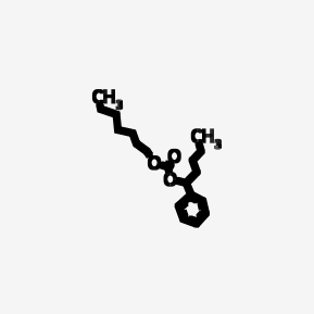 CCCCCCCOC(=O)OC(CCCC)c1ccccc1